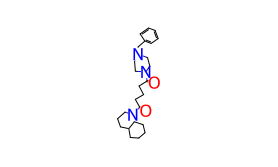 O=C(CCCC(=O)N1CCCC2CCCCC21)N1CCN(Cc2ccccc2)CC1